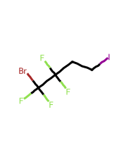 FC(F)(Br)C(F)(F)CCI